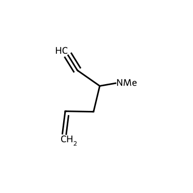 C#CC(CC=C)NC